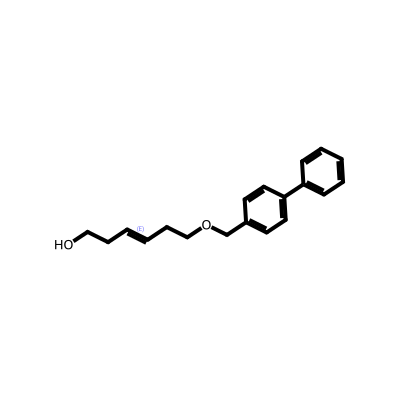 OCC/C=C/CCOCc1ccc(-c2ccccc2)cc1